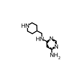 Nc1cc(NCC2CCNCC2)ncn1